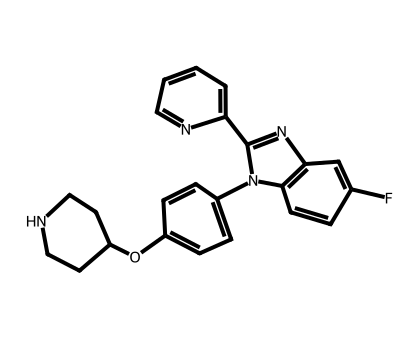 Fc1ccc2c(c1)nc(-c1ccccn1)n2-c1ccc(OC2CCNCC2)cc1